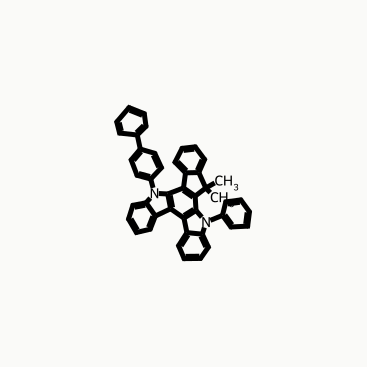 CC1(C)c2ccccc2-c2c1c1c(c3ccccc3n1-c1ccccc1)c1c3ccccc3n(-c3ccc(-c4ccccc4)cc3)c21